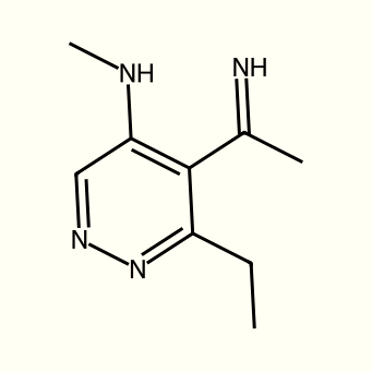 CCc1nncc(NC)c1C(C)=N